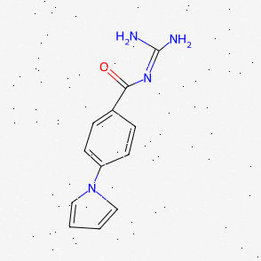 NC(N)=NC(=O)c1ccc(-n2cccc2)cc1